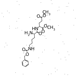 COC(=O)CCC(NC(=O)C(N)CCCCNC(=O)OCc1ccccc1)C(=O)OC